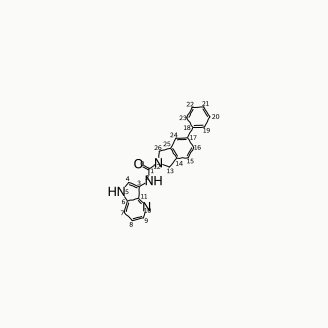 O=C(Nc1c[nH]c2cccnc12)N1Cc2ccc(-c3ccccc3)cc2C1